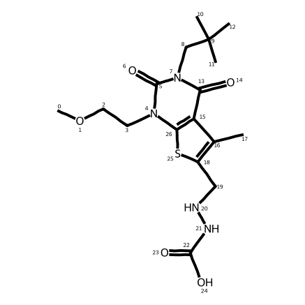 COCCn1c(=O)n(CC(C)(C)C)c(=O)c2c(C)c(CNNC(=O)O)sc21